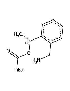 CCCCC(=O)O[C@H](C)c1ccccc1CN